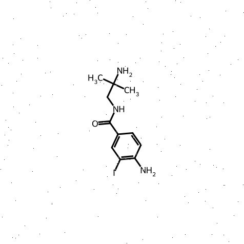 CC(C)(N)CNC(=O)c1ccc(N)c(I)c1